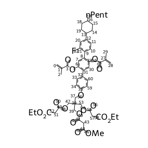 C=C(C)C(=O)Oc1cc(-c2ccc(C3CCC(CCCCC)CC3)cc2F)c(OC(=O)C(=C)C)cc1-c1ccc(OCC(COC(=O)CC(=O)OC)(COC(=O)CC(=O)OCC)COC(=O)CC(=O)OCC)cc1